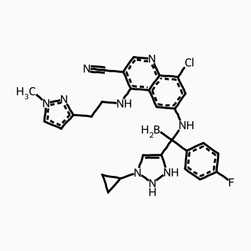 BC(Nc1cc(Cl)c2ncc(C#N)c(NCCc3ccn(C)n3)c2c1)(C1=CN(C2CC2)NN1)c1ccc(F)cc1